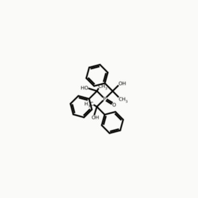 CC(O)(c1ccccc1)P(=O)(C(C)(O)c1ccccc1)C(C)(O)c1ccccc1